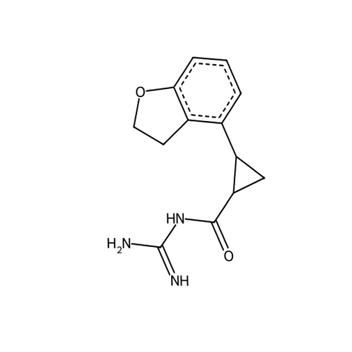 N=C(N)NC(=O)C1CC1c1cccc2c1CCO2